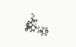 CCCNC(=O)c1cc(CCN2CCOCC2)ccc1[N+](=O)[O-]